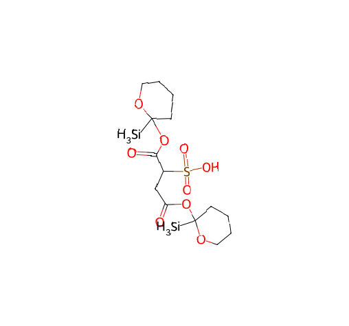 O=C(CC(C(=O)OC1([SiH3])CCCCO1)S(=O)(=O)O)OC1([SiH3])CCCCO1